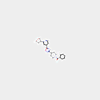 O=C(c1ccccc1F)N1CCC(c2noc(-c3ccnc(C4CCOC4)c3)n2)CC1